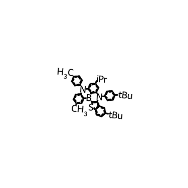 Cc1ccc(N2c3ccc(C)cc3B3c4sc5ccc(C(C)(C)C)cc5c4N(c4ccc(C(C)(C)C)cc4)c4cc(C(C)C)cc2c43)cc1